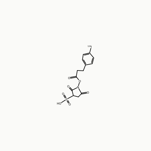 O=C(CCc1ccc([124I])cc1)ON1C(=O)CC(S(=O)(=O)O)C1=O